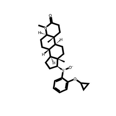 CN1C(=O)CC[C@]2(C)[C@H]3CC[C@]4(C)[C@@H]([S+]([O-])c5ccccc5OC5CC5)CC[C@H]4[C@@H]3CC[C@@H]12